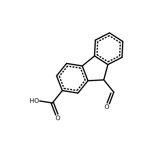 O=CC1c2ccccc2-c2ccc(C(=O)O)cc21